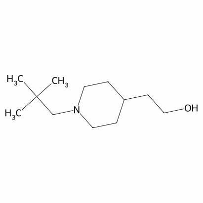 CC(C)(C)CN1CCC(CCO)CC1